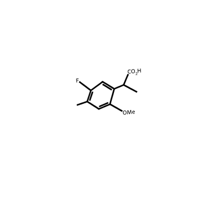 COc1cc(C)c(F)cc1C(C)C(=O)O